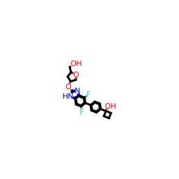 OCC1CC(Oc2nc3c(F)c(-c4ccc(C5(O)CCC5)cc4)c(F)cc3[nH]2)CO1